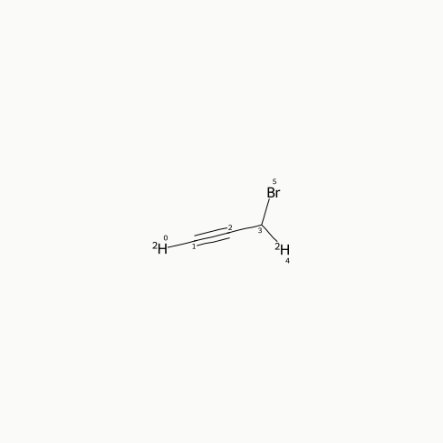 [2H]C#CC([2H])Br